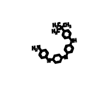 CC(C)(C)c1ccc(Nc2ccc(N=C3C=CC(=Nc4ccc(N)cc4)C=C3)cc2)cc1